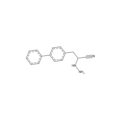 N#CC(Cc1ccc(-c2ccccc2)cc1)NN